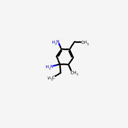 CCC1=CC(C)C(N)(CC)C=C1N